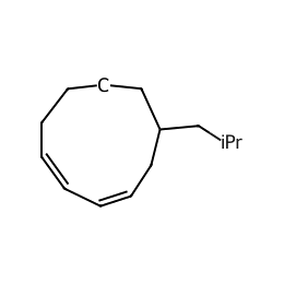 CC(C)CC1C/C=C\C=C/CCCC1